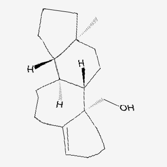 C[C@@]12CCC[C@H]1[C@@H]1CCC3=CCCC[C@]3(CO)[C@H]1CC2